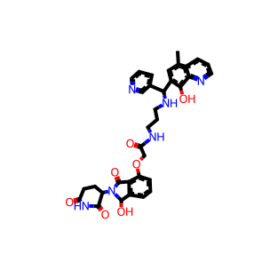 Cc1cc(C(NCCCNC(=O)COc2cccc3c2C(=O)N(C2CCC(=O)NC2=O)C3O)c2cccnc2)c(O)c2ncccc12